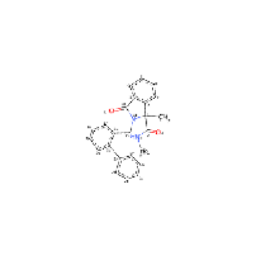 CC(C)(C)NC(=O)C1(C)c2ccccc2C(=O)N1Cc1ccccc1-c1ccccc1